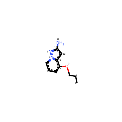 CCCOc1cccn2nc(N)cc12